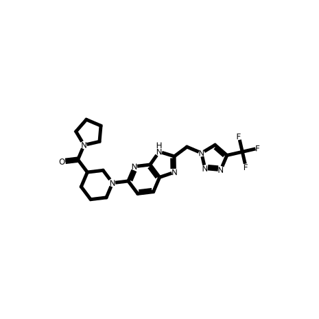 O=C(C1CCCN(c2ccc3nc(Cn4cc(C(F)(F)F)nn4)[nH]c3n2)C1)N1CCCC1